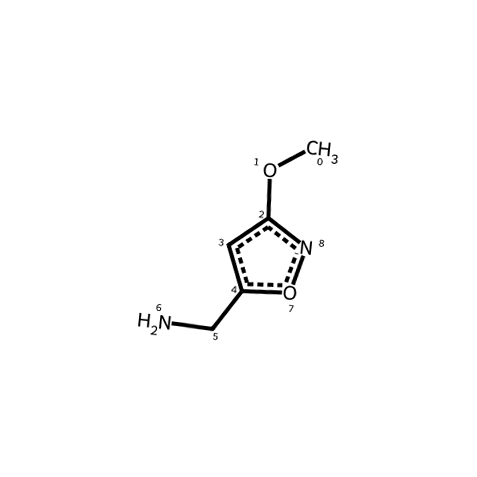 COc1cc(CN)on1